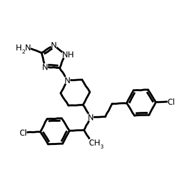 CC(c1ccc(Cl)cc1)N(CCc1ccc(Cl)cc1)C1CCN(c2nc(N)n[nH]2)CC1